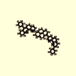 C1=CC2=C(c3ccc4ccc5c(-c6ccccc6)c6ccccc6nc5c4n3)C=CC3=CC=C4C(c5cnc6c(ccc7ccc(-c8ccccc8)nc76)c5)=CC=C1C4C32